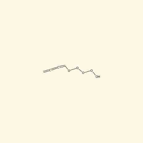 C=C=C=COOOOO